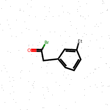 CCc1cccc(CC(=O)Br)c1